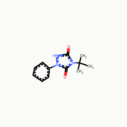 CC(C)(C)n1c(=O)[nH]n(-c2ccccc2)c1=O